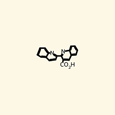 O=C(O)c1cc2ccccc2nc1-c1ccc2ccccc2n1